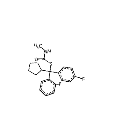 CNC(=O)SC(c1ccc(F)cc1)(c1ccccc1F)C1CCCC1